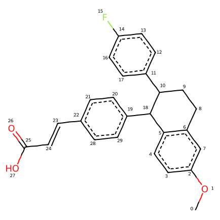 COc1ccc2c(c1)CCC(c1ccc(F)cc1)C2c1ccc(/C=C/C(=O)O)cc1